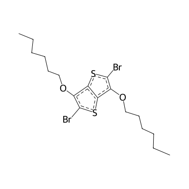 CCCCCCOc1c(Br)sc2c(OCCCCCC)c(Br)sc12